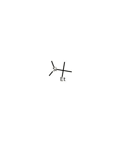 CCC(C)(C)[Si](C)C